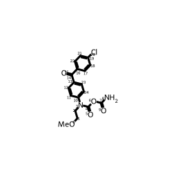 COCCN(C(=O)OC(N)=O)c1ccc(C(=O)c2ccc(Cl)cc2)cc1